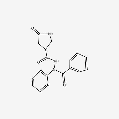 O=C1CC(C(=O)NN(C(=O)c2ccccc2)c2ccccn2)CN1